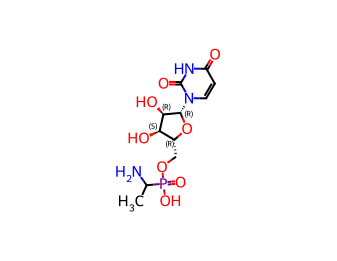 CC(N)P(=O)(O)OC[C@H]1O[C@@H](n2ccc(=O)[nH]c2=O)[C@H](O)[C@@H]1O